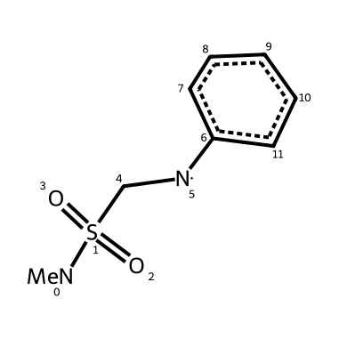 CNS(=O)(=O)C[N]c1ccccc1